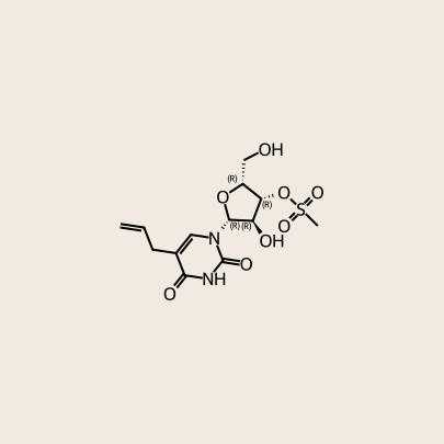 C=CCc1cn([C@@H]2O[C@H](CO)[C@H](OS(C)(=O)=O)[C@H]2O)c(=O)[nH]c1=O